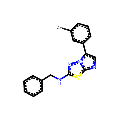 CC(=O)c1cccc(-c2cnc3sc(NCc4ccccc4)nn23)c1